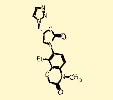 CCc1c(N2C[C@H](Cn3ccnn3)OC2=O)ccc2c1OCC(=O)N2C